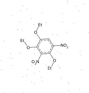 CCOc1cc([N+](=O)[O-])c(OCC)c([N+](=O)[O-])c1OCC